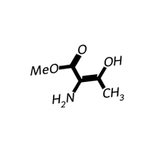 COC(=O)/C(N)=C(/C)O